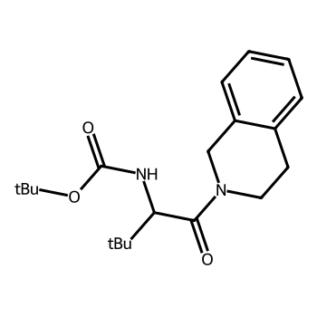 CC(C)(C)OC(=O)NC(C(=O)N1CCc2ccccc2C1)C(C)(C)C